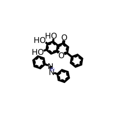 O=c1cc(-c2ccccc2)oc2cc(O)c(O)c(O)c12.c1ccc(/N=N/c2ccccc2)cc1